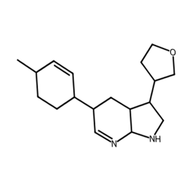 CC1C=CC(C2C=NC3NCC(C4CCOC4)C3C2)CC1